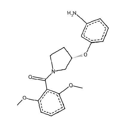 COc1cccc(OC)c1C(=O)N1CC[C@H](Oc2cccc(N)c2)C1